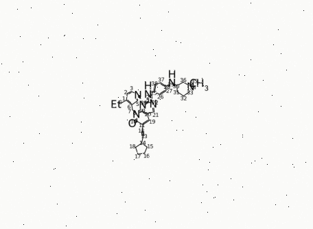 CCc1ccncc1Cn1c(=O)c(C#CC2CCCC2)cc2cnc(Nc3ccc(NC4CCCN(C)C4)cc3)nc21